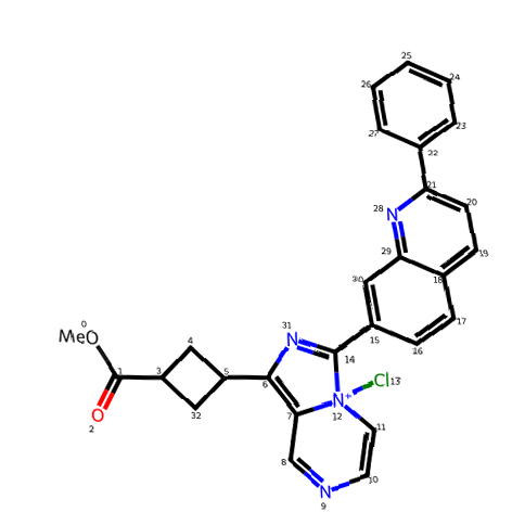 COC(=O)C1CC(C2=C3C=NC=C[N+]3(Cl)C(c3ccc4ccc(-c5ccccc5)nc4c3)=N2)C1